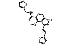 COc1c(C(=O)NCc2cccs2)ccc2[nH]nc(/C=C/c3cccs3)c12